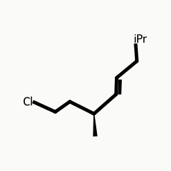 CC(C)CC=C[C@@H](C)CCCl